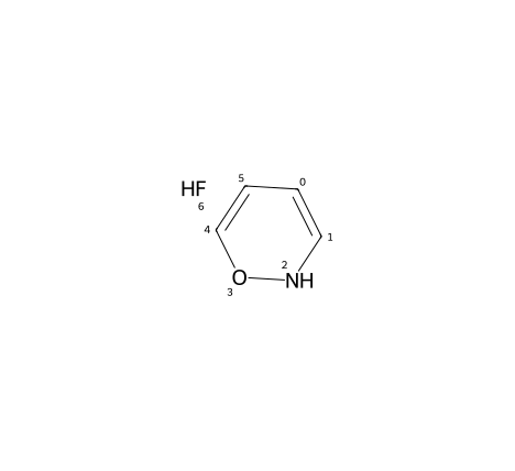 C1=CNOC=C1.F